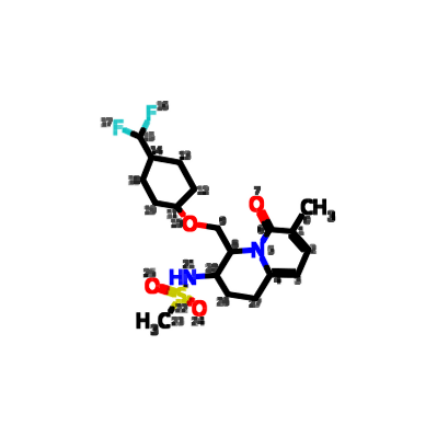 Cc1ccc2n(c1=O)C(COC1CCC(C(F)F)CC1)C(NS(C)(=O)=O)CC2